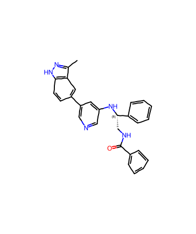 Cc1n[nH]c2ccc(-c3cncc(N[C@@H](CNC(=O)c4ccccc4)c4ccccc4)c3)cc12